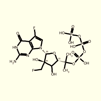 CC(C)(OP(=O)(O)OP(=O)(O)OP(=O)(O)O)[C@H]1O[C@@H](n2cc(F)c3c(=O)[nH]c(N)nc32)[C@@](O)(CF)C1O